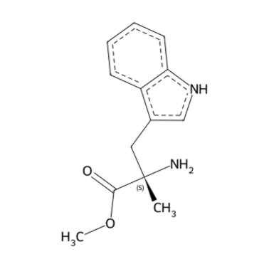 COC(=O)[C@@](C)(N)Cc1c[nH]c2ccccc12